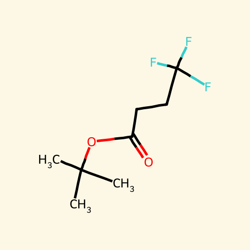 CC(C)(C)OC(=O)CCC(F)(F)F